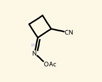 CC(=O)O/N=C1/CCC1C#N